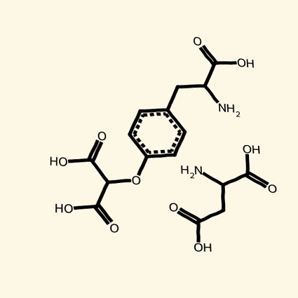 NC(CC(=O)O)C(=O)O.NC(Cc1ccc(OC(C(=O)O)C(=O)O)cc1)C(=O)O